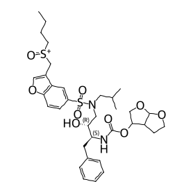 CCCC[S+]([O-])Cc1coc2ccc(S(=O)(=O)N(CC(C)C)C[C@@H](O)[C@H](Cc3ccccc3)NC(=O)OC3COC4OCCC34)cc12